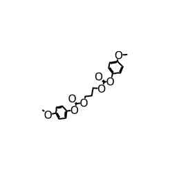 COc1ccc(OC(=O)OCCCOC(=O)Oc2ccc(OC)cc2)cc1